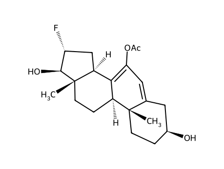 CC(=O)OC1=C2[C@@H]3C[C@@H](F)[C@H](O)[C@@]3(C)CC[C@@H]2[C@@]2(C)CC[C@H](O)CC2=C1